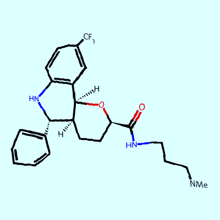 CNCCCNC(=O)[C@H]1CC[C@@H]2[C@H](O1)c1cc(C(F)(F)F)ccc1N[C@H]2c1ccccc1